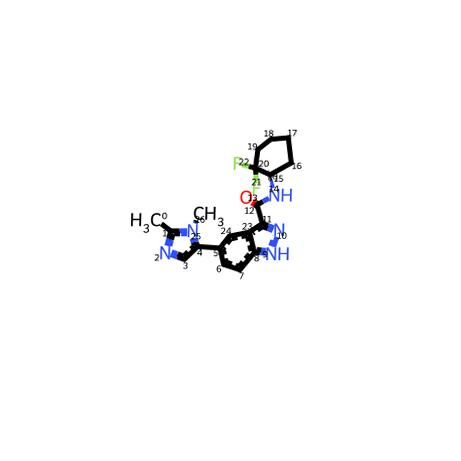 Cc1ncc(-c2ccc3[nH]nc(C(=O)N[C@@H]4CCCCC4(F)F)c3c2)n1C